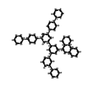 c1ccc(-c2ccc(-c3nc(-c4ccc(-c5ccccc5)cc4)nc(-c4cc(-c5ccnc(-c6ccccc6)c5)cc(-c5cc6ccccc6c6ccccc56)c4)n3)cc2)cc1